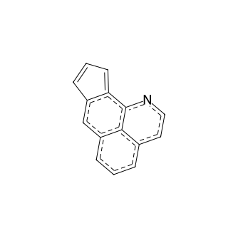 C1=Cc2cc3cccc4ccnc(c2=C1)c43